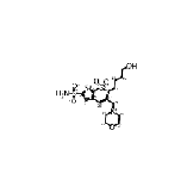 NS(=O)(=O)c1cc2c(s1)S(=O)(=O)N(CCCCO)C(CN1CCOCC1)=C2